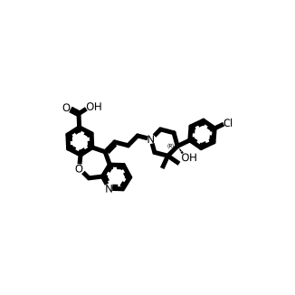 CC1(C)CN(CCC=C2c3cc(C(=O)O)ccc3OCc3ncccc32)CC[C@@]1(O)c1ccc(Cl)cc1